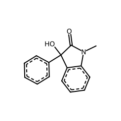 CN1C(=O)C(O)(c2ccccc2)c2ccccc21